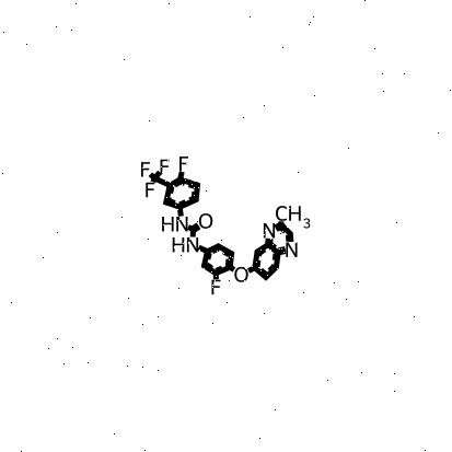 Cc1cnc2ccc(Oc3ccc(NC(=O)Nc4ccc(F)c(C(F)(F)F)c4)cc3F)cc2n1